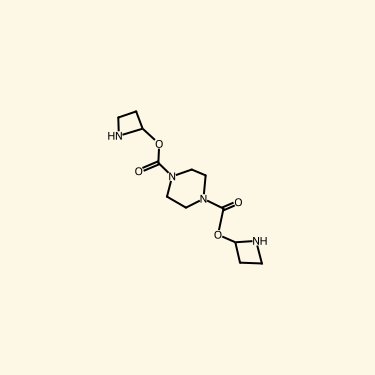 O=C(OC1CCN1)N1CCN(C(=O)OC2CCN2)CC1